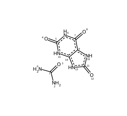 NC(N)=O.O=c1[nH]c(=O)c2[nH]c(=O)[nH]c2[nH]1